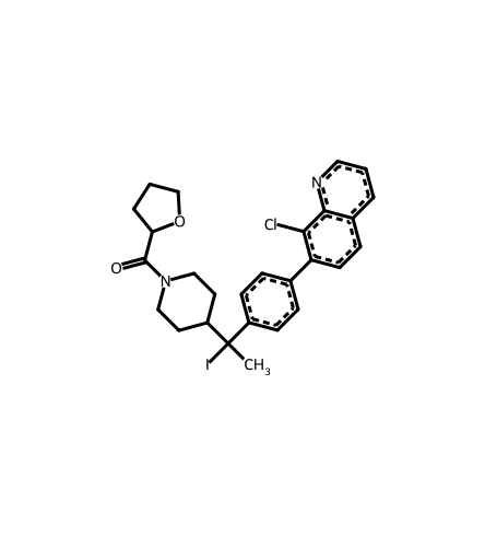 CC(I)(c1ccc(-c2ccc3cccnc3c2Cl)cc1)C1CCN(C(=O)C2CCCO2)CC1